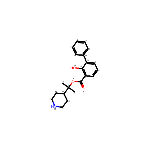 CC(C)(OC(=O)c1cccc(-c2ccccc2)c1O)C1CCNCC1